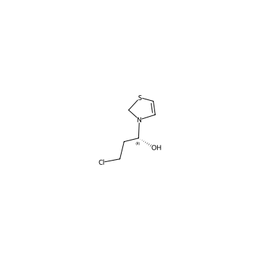 O[C@H](CCCl)N1C=CSC1